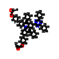 CC1OC1Oc1ccc(-c2ccc3c(c2)B(c2ccccc2)c2cc(-c4nc(-c5ccccc5)nc(-c5ccccc5)n4)cc4c2N3c2ccc(-c3ccc(OC5OC5C)cc3)cc2B4c2ccccc2)cc1